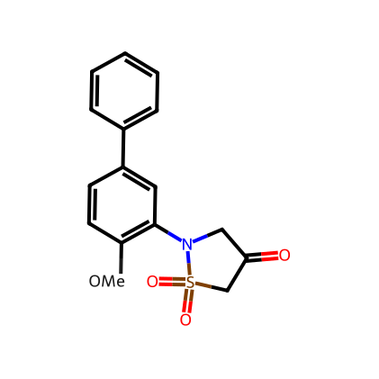 COc1ccc(-c2ccccc2)cc1N1CC(=O)CS1(=O)=O